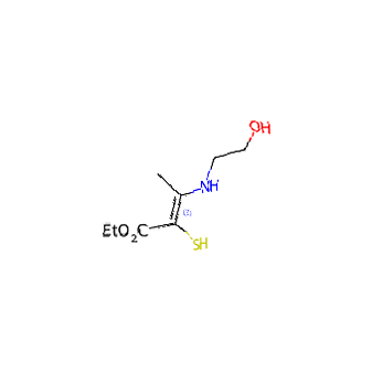 CCOC(=O)/C(S)=C(\C)NCCO